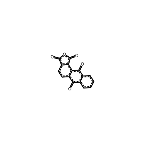 O=c1oc(=O)c2c1ccc1c(=O)c3ccccc3c(=O)c12